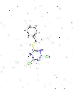 Clc1nc(Cl)nc(SCc2ccccc2)n1